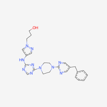 OCCCn1cc(Nc2ncnc(N3CCN(c4ncc(Cc5ccccc5)cn4)CC3)n2)cn1